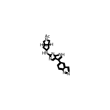 CC(=O)N1C[C@H]2C[C@H](Nc3ncc4c(-c5ccc6nnccc6c5)c[nH]c4n3)C[C@H]2C1